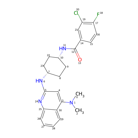 CN(C)c1cc(N[C@H]2CC[C@@H](NC(=O)c3ccc(F)c(Cl)c3)CC2)nc2ccccc12